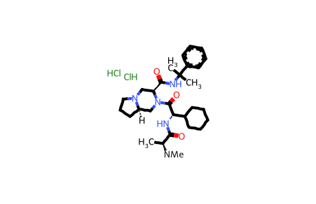 CN[C@@H](C)C(=O)N[C@H](C(=O)N1C[C@H]2CCCN2C[C@H]1C(=O)NC(C)(C)c1ccccc1)C1CCCCC1.Cl.Cl